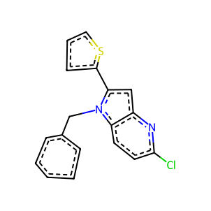 Clc1ccc2c(cc(-c3cccs3)n2Cc2ccccc2)n1